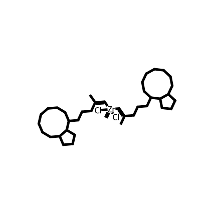 [CH2]=[Zr]([Cl])([Cl])([CH]=C(C)CCCC1CCCCCCCC2CCCC12)[CH]=C(C)CCCC1CCCCCCCC2CCCC12